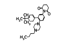 CCCCN1CCN(c2ccc(N3C(=O)CCCC3=O)cc2C2=CCC(C(C)(C)C)CC2)CC1